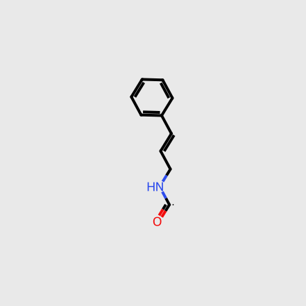 O=[C]NCC=Cc1ccccc1